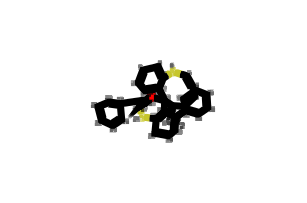 C=C1/C=C\C=C/Sc2ccccc2C12c1cccc(-c3ccccc3)c1Sc1cccc(-c3ccccc3)c12